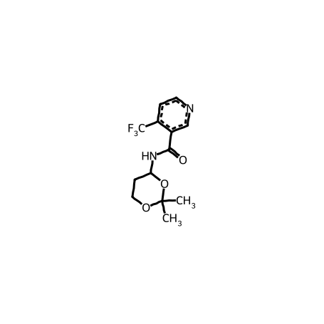 CC1(C)OCCC(NC(=O)c2cnccc2C(F)(F)F)O1